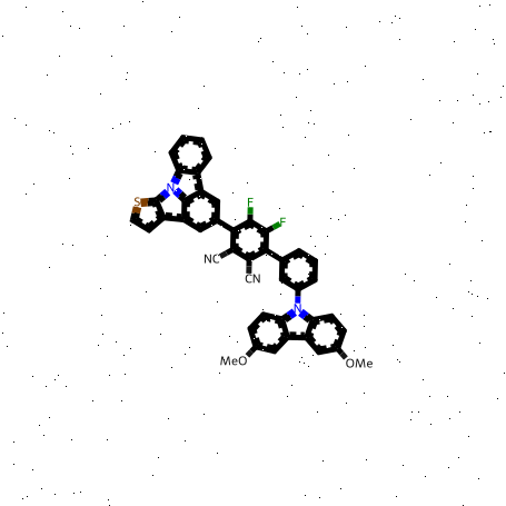 COc1ccc2c(c1)c1cc(OC)ccc1n2-c1cccc(-c2c(F)c(F)c(-c3cc4c5ccccc5n5c6sccc6c(c3)c45)c(C#N)c2C#N)c1